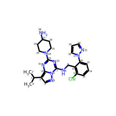 CC(C)c1cnn2c(NCc3c(Cl)cccc3-n3cccn3)nc(N3CCC(N)CC3)nc12